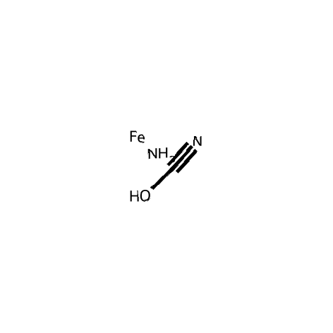 N.N#CO.[Fe]